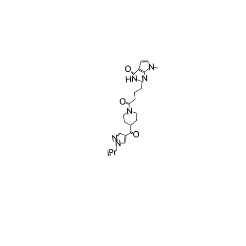 CC(C)n1cc(C(=O)C2CCN(C(=O)CCCc3nc4c(ccn4C)c(=O)[nH]3)CC2)cn1